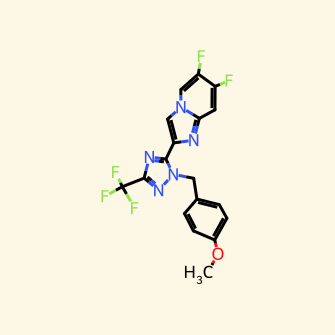 COc1ccc(Cn2nc(C(F)(F)F)nc2-c2cn3cc(F)c(F)cc3n2)cc1